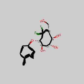 Cc1ccc(O[C@H]2[C@H](O)[C@@H](O)[C@H](O)[C@@H](CO)C2(F)F)cc1